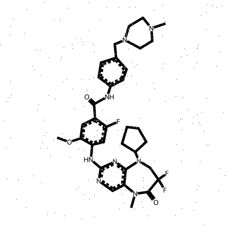 COc1cc(C(=O)Nc2ccc(CN3CCN(C)CC3)cc2)c(F)cc1Nc1ncc2c(n1)N(C1CCCC1)CC(F)(F)C(=O)N2C